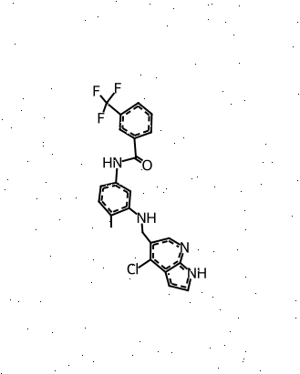 Cc1ccc(NC(=O)c2cccc(C(F)(F)F)c2)cc1NCc1cnc2[nH]ccc2c1Cl